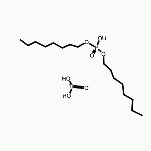 CCCCCCCCOP(=O)(O)OCCCCCCCC.[O]=[Ti]([OH])[OH]